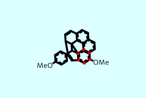 COc1ccc(C(c2ccc(OC)cc2)C23c4c5ccc6ccc7ccc(c2c7c46)C=CC3C=C5)cc1